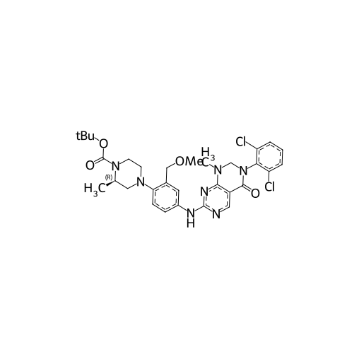 COCc1cc(Nc2ncc3c(n2)N(C)CN(c2c(Cl)cccc2Cl)C3=O)ccc1N1CCN(C(=O)OC(C)(C)C)[C@H](C)C1